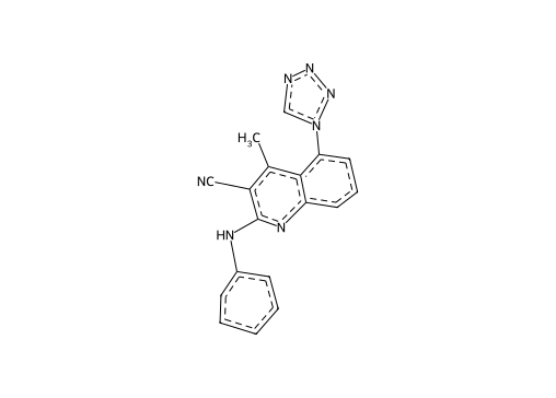 Cc1c(C#N)c(Nc2ccccc2)nc2cccc(-n3cnnn3)c12